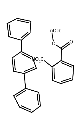 CCCCCCCCOC(=O)c1ccccc1C(=O)O.c1ccc(-c2ccc(-c3ccccc3)cc2)cc1